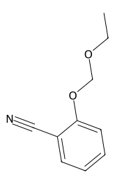 CCOCOc1ccccc1C#N